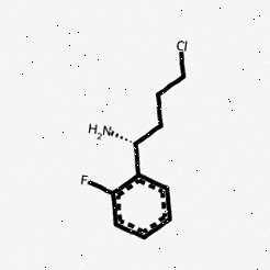 N[C@H](CCCCl)c1ccccc1F